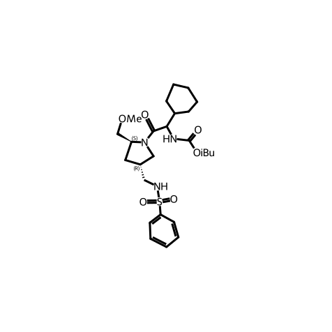 COC[C@@H]1C[C@@H](CNS(=O)(=O)c2ccccc2)CN1C(=O)C(NC(=O)OCC(C)C)C1CCCCC1